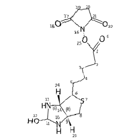 O=C(CCCCC1SC[C@@H]2NC(O)N[C@H]12)ON1C(=O)CCC1=O